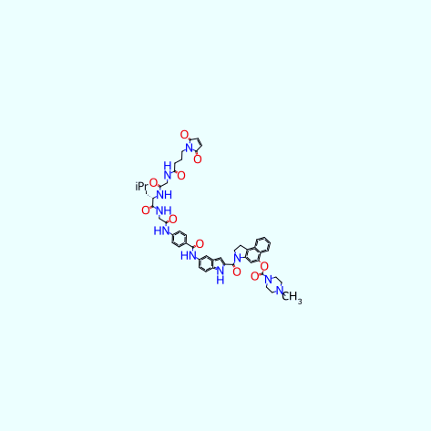 CC(C)C[C@H](NC(=O)CNC(=O)CCCN1C(=O)C=CC1=O)C(=O)NCC(=O)Nc1ccc(C(=O)Nc2ccc3[nH]c(C(=O)N4CCc5c4cc(OC(=O)N4CCN(C)CC4)c4ccccc54)cc3c2)cc1